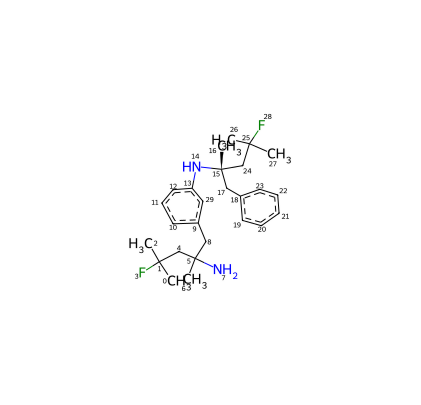 CC(C)(F)CC(C)(N)Cc1cccc(N[C@@](C)(Cc2ccccc2)CC(C)(C)F)c1